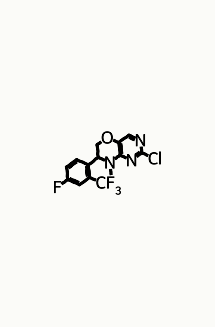 CN1c2nc(Cl)ncc2OCC1c1ccc(F)cc1C(F)(F)F